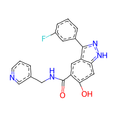 O=C(NCc1cccnc1)c1cc2c(-c3cccc(F)c3)n[nH]c2cc1O